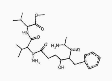 COC(=O)C(NC(=O)C(C(C)C)N(N)C(=O)CCC(O)C(Cc1ccccc1)C(=O)C(C)N)C(C)C